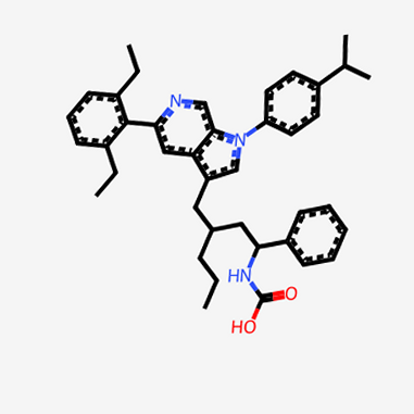 CCCC(Cc1cn(-c2ccc(C(C)C)cc2)c2cnc(-c3c(CC)cccc3CC)cc12)CC(NC(=O)O)c1ccccc1